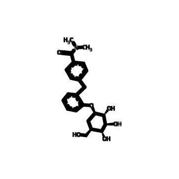 CN(C)C(=O)c1ccc(Cc2ccccc2O[C@@H]2C[C@H](CO)[C@@H](O)[C@H](O)[C@H]2O)cc1